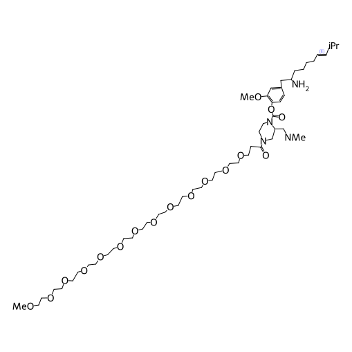 CNCC1CN(C(=O)CCOCCOCCOCCOCCOCCOCCOCCOCCOCCOCCOCCOCCOC)CCN1C(=O)Oc1ccc(CC(N)CCCC/C=C/C(C)C)cc1OC